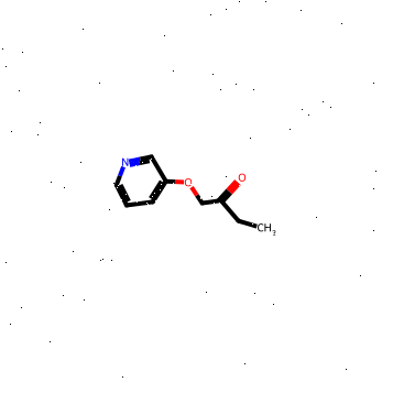 CCC(=O)COc1cccnc1